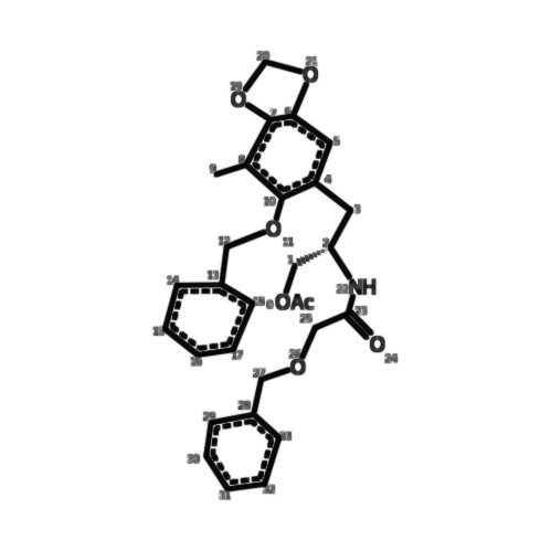 CC(=O)OC[C@H](Cc1cc2c(c(C)c1OCc1ccccc1)OCO2)NC(=O)COCc1ccccc1